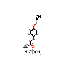 C#CCOc1ccc(CCC(O[SiH](C)C)C(C)(C)C)cc1